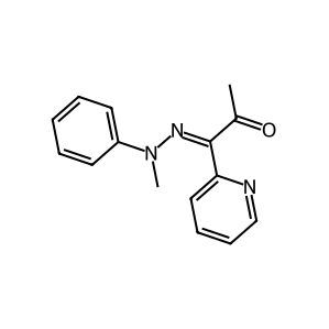 CC(=O)/C(=N/N(C)c1ccccc1)c1ccccn1